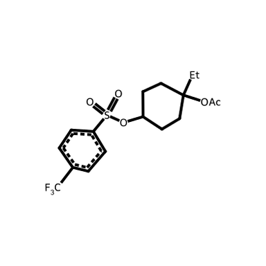 CCC1(OC(C)=O)CCC(OS(=O)(=O)c2ccc(C(F)(F)F)cc2)CC1